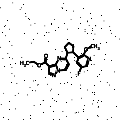 CCOC(=O)c1cnn2ccc(C3CCCC3c3cc(F)cnc3OC)nc12